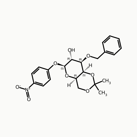 CC1(C)OC[C@H]2O[C@@H](Oc3ccc([N+](=O)[O-])cc3)[C@H](O)[C@@H](OCc3ccccc3)[C@H]2O1